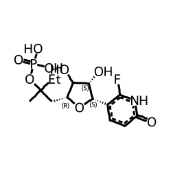 CCC(C)(C[C@H]1O[C@@H](c2ccc(=O)[nH]c2F)[C@@H](O)C1O)OP(=O)(O)O